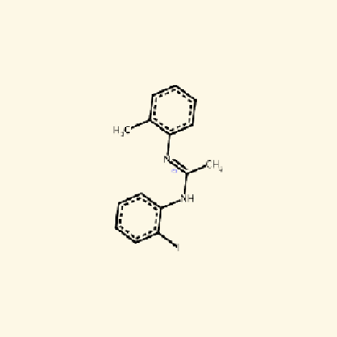 C/C(=N\c1ccccc1C)Nc1ccccc1I